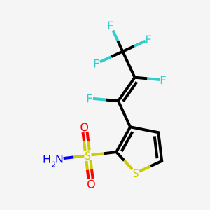 NS(=O)(=O)c1sccc1C(F)=C(F)C(F)(F)F